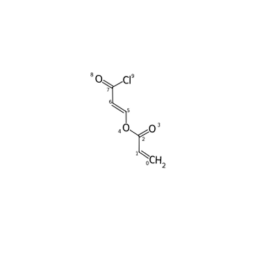 C=CC(=O)OC=CC(=O)Cl